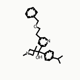 CC(C)c1ccc(C(O)(c2cncc(CCOCc3ccccc3)c2)C2(C)CN(C)C2)cc1